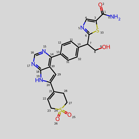 NC(=O)c1cnc(C(CO)c2ccc(-c3ncnc4[nH]c(C5=CCS(=O)(=O)CC5)cc34)cc2)s1